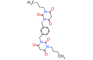 CCCCN1C(=O)CC(=O)N(Cc2cccc(CN3C(=O)CC(=O)N(CCCC)C3=O)c2)C1=O